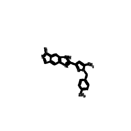 Cc1ccc(Cn2nc(-c3nc4cc5cn[nH]c5cc4[nH]3)cc2C)cc1